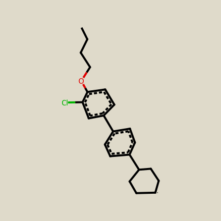 CCCCOc1ccc(-c2ccc(C3CC[CH]CC3)cc2)cc1Cl